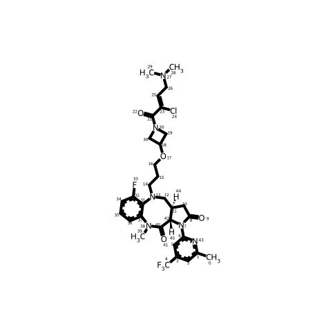 Cc1cc(C(F)(F)F)cc(N2C(=O)C[C@@H]3CN(CCCOC4CN(C(=O)/C(Cl)=C/CN(C)C)C4)c4c(F)cccc4N(C)C(=O)[C@H]32)n1